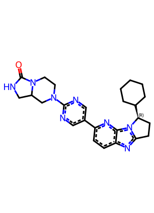 O=C1NCC2CN(c3ncc(-c4ccc5nc6n(c5n4)[C@@H](C4CCCCC4)CC6)cn3)CCN12